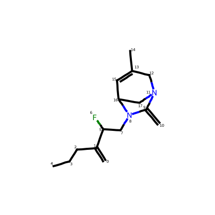 C=C(CCC)C(F)CN1C(=C)N2CC(C)=CC1C2